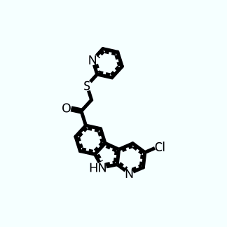 O=C(CSc1ccccn1)c1ccc2[nH]c3ncc(Cl)cc3c2c1